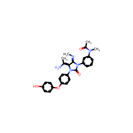 C/N=C1\C(=C(/C)N)N(c2ccc(Oc3ccc(O)cc3)cc2)C(=O)N1c1cccc(N(C)C(C)=O)c1